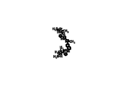 COC(=O)NC(C(=O)N1CCC[C@H]1c1ncc(-c2cc(C)c(-c3ccc4c(ccc5nc([C@@H]6CCCN6C(=O)[C@@H](NC(=O)OC)C(C)C)[nH]c54)c3)s2)[nH]1)C(C)C